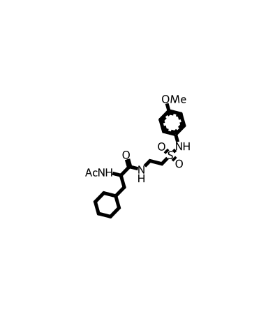 COc1ccc(NS(=O)(=O)CCNC(=O)C(CC2CCCCC2)NC(C)=O)cc1